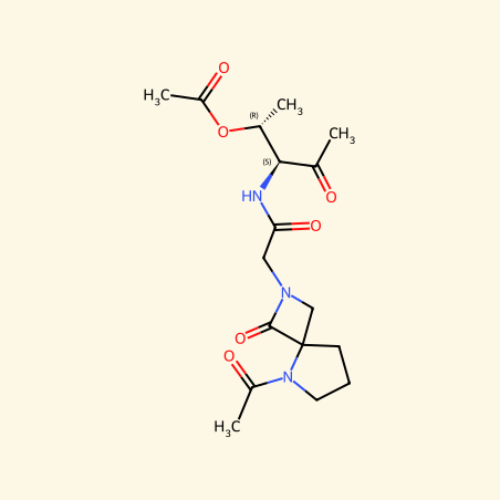 CC(=O)O[C@H](C)[C@H](NC(=O)CN1CC2(CCCN2C(C)=O)C1=O)C(C)=O